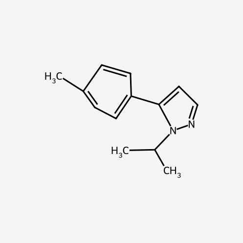 Cc1ccc(-c2ccnn2C(C)C)cc1